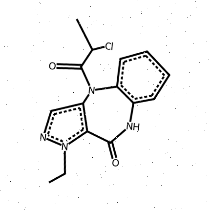 CCn1ncc2c1C(=O)Nc1ccccc1N2C(=O)C(C)Cl